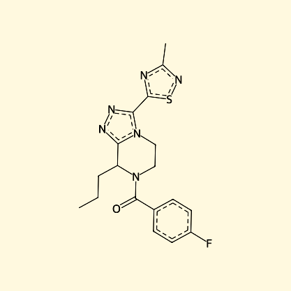 CCCC1c2nnc(-c3nc(C)ns3)n2CCN1C(=O)c1ccc(F)cc1